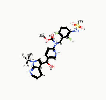 CCCS(=O)(=O)Nc1ccc(F)c(CN(C(=O)OC(C)(C)C)c2ccc(C(O)c3cn([Si](C(C)C)(C(C)C)C(C)C)c4ncccc34)cn2)c1F